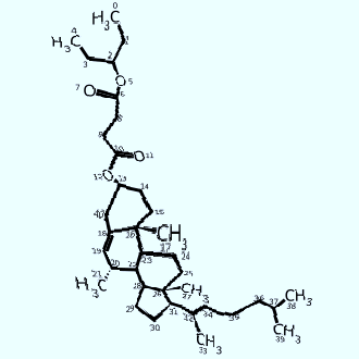 CCC(CC)OC(=O)CCC(=O)O[C@H]1CC[C@@]2(C)C(=C[C@@H](C)C3C2CC[C@@]2(C)C3CC[C@@H]2[C@H](C)CCCC(C)C)C1